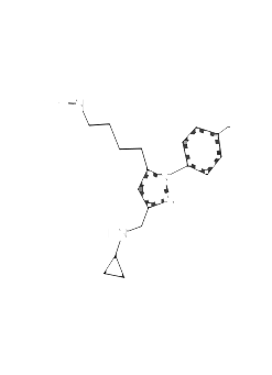 O=CNCCCCc1cc(CNC2CC2)nn1-c1ccc(F)cc1